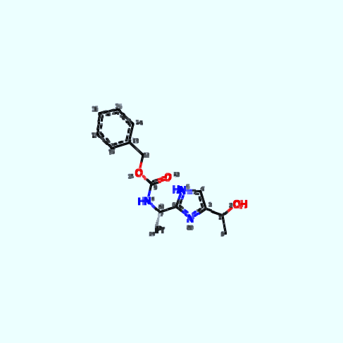 CC(O)c1c[nH]c([C@@H](NC(=O)OCc2ccccc2)C(C)C)n1